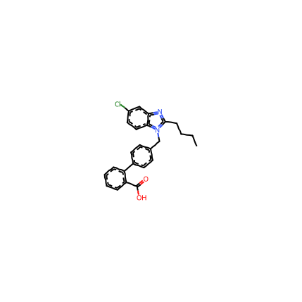 CCCCc1nc2cc(Cl)ccc2n1Cc1ccc(-c2ccccc2C(=O)O)cc1